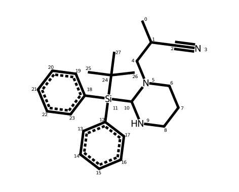 CC(C#N)CN1CCCNC1[Si](c1ccccc1)(c1ccccc1)C(C)(C)C